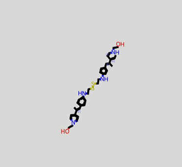 C/C=C(\C=C/NCCO)C(/C)=C/c1ccc(NCCSSCCNc2ccc(/C=C(\C)c3cc[n+](CCO)cc3)cc2)cc1